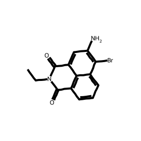 CCN1C(=O)c2cccc3c(Br)c(N)cc(c23)C1=O